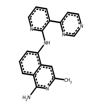 Cc1cc2c(Nc3ncccc3-c3ccncn3)cccc2c(N)n1